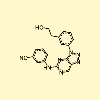 N#Cc1cccc(Nc2ncc3nnn(-c4cccc(CCO)c4)c3n2)c1